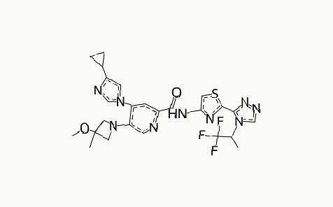 COC1(C)CN(c2cnc(C(=O)Nc3csc(-c4nncn4C(C)C(F)(F)F)n3)cc2-n2cnc(C3CC3)c2)C1